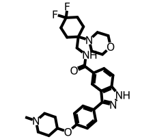 CN1CCC(Oc2ccc(-c3n[nH]c4ccc(C(=O)NCC5(N6CCOCC6)CCC(F)(F)CC5)cc34)cc2)CC1